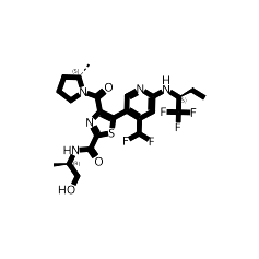 CC[C@H](Nc1cc(C(F)F)c(-c2sc(C(=O)N[C@H](C)CO)nc2C(=O)N2CCC[C@@H]2C)cn1)C(F)(F)F